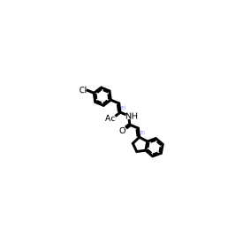 CC(=O)/C(=C\c1ccc(Cl)cc1)NC(=O)/C=C1\CCc2ccccc21